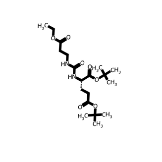 CCOC(=O)CCNC(=O)N[C@@H](CCC(=O)OC(C)(C)C)C(=O)OC(C)(C)C